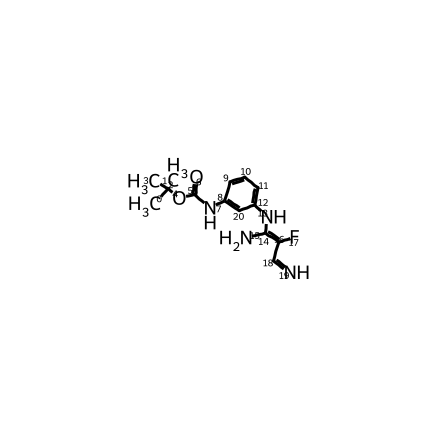 CC(C)(C)OC(=O)Nc1cccc(N/C(N)=C(\F)C=N)c1